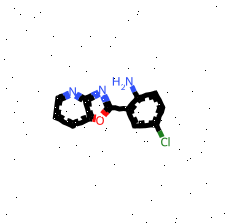 Nc1ccc(Cl)cc1-c1nc2ncccc2o1